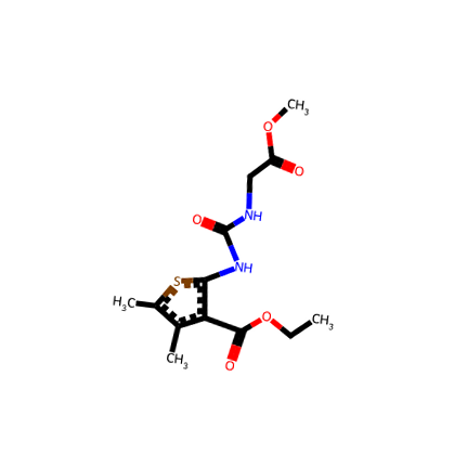 CCOC(=O)c1c(NC(=O)NCC(=O)OC)sc(C)c1C